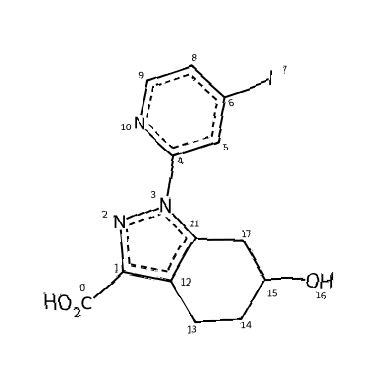 O=C(O)c1nn(-c2cc(I)ccn2)c2c1CCC(O)C2